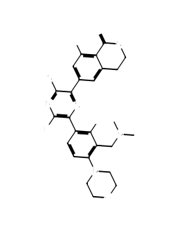 CN(C)Cc1c(N2CCOCC2)ccc(-c2nc(-c3cc(F)c4c(c3)CCNC4=O)c(N)nc2F)c1F